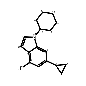 Fc1cc(C2CC2)cc2c1ccn2C1CCCCC1